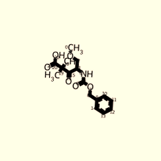 COCC(NC(=O)OCc1ccccc1)C(=O)C(C)(C)C(=O)O